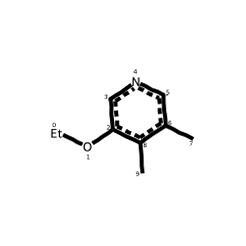 CCOc1cn[c]c(C)c1C